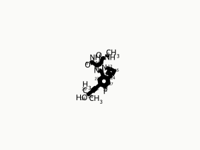 CNC(=O)c1c(C(N)=O)nc2n1C1C=C(C1)c1cc(F)c(C#CC(C)(C)O)cc1-2